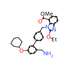 CCOc1nc2cccc(C(=O)OC)c2n1Cc1ccc(-c2cc(OC3CCCCC3)ccc2CN)cc1